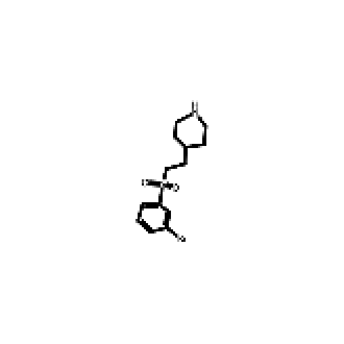 O=S(=O)(CCC1CCNCC1)c1cccc(Br)c1